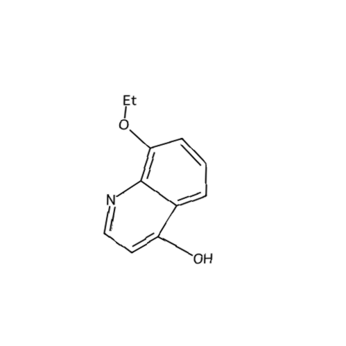 CCOc1cccc2c(O)ccnc12